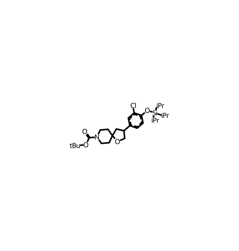 CC(C)[Si](Oc1ccc(C2COC3(CCN(C(=O)OC(C)(C)C)CC3)C2)cc1Cl)(C(C)C)C(C)C